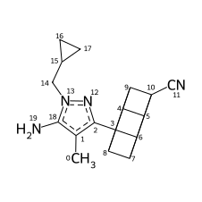 Cc1c(C23C4C5C2C2C3C4C52C#N)nn(CC2CC2)c1N